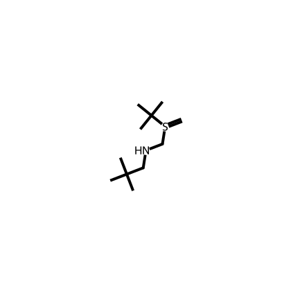 C=S(CNCC(C)(C)C)C(C)(C)C